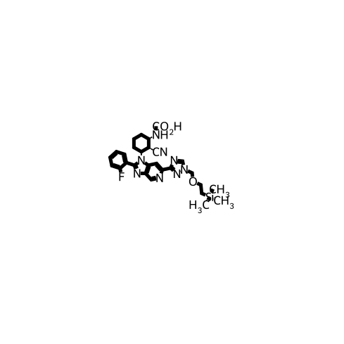 C[Si](C)(C)CCOCn1cnc(-c2cc3c(cn2)nc(-c2ccccc2F)n3[C@@H]2CCC[C@H](NC(=O)O)[C@@H]2C#N)n1